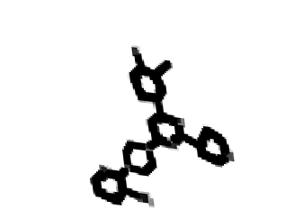 Cc1cc(-c2cc(N3CCN(c4ncccc4C(F)(F)F)CC3)nc(-c3ccncc3)n2)ccc1F